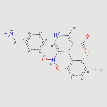 CC1=C(C(=O)O)C(c2cccc(Cl)c2)C([N+](=O)[O-])=C(c2ccc(CN)cc2)N1